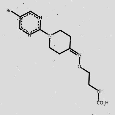 O=C(O)NCCON=C1CCN(c2ncc(Br)cn2)CC1